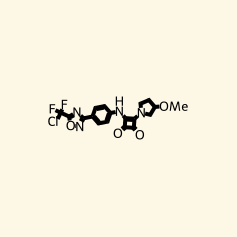 COC1CCN(c2c(Nc3ccc(-c4noc(C(F)(F)Cl)n4)cc3)c(=O)c2=O)C1